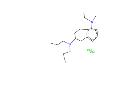 CCCN(CCC)C1CCc2c(cccc2N(C)CC)C1.Cl.Cl